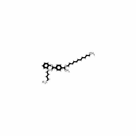 CCCCCCCCCCCCOC(C)c1ccc(C(=O)Oc2ccccc2OCCCCC)cc1